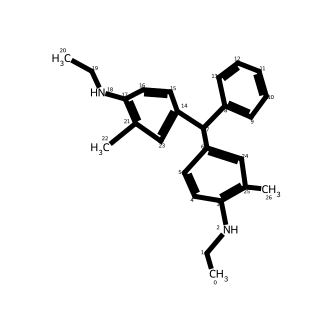 CCNc1ccc(C(c2ccccc2)c2ccc(NCC)c(C)c2)cc1C